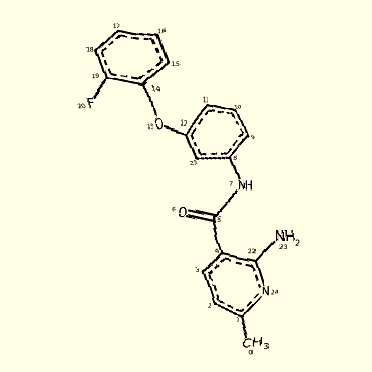 Cc1ccc(C(=O)Nc2cccc(Oc3ccccc3F)c2)c(N)n1